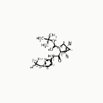 CC(C)(C)OC(=O)N1C[C@H]2C[C@H]2[C@H]1C(=O)Nc1ccn(CC(F)(F)F)n1